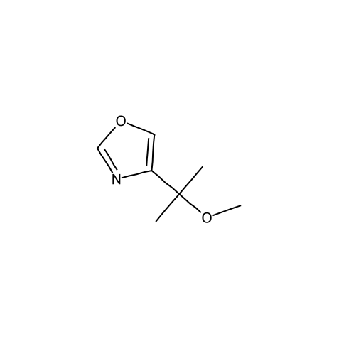 COC(C)(C)c1cocn1